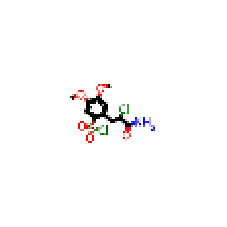 COc1cc(CC(Cl)C(N)=O)c(S(=O)(=O)Cl)cc1OC